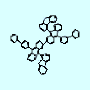 c1ccc(-c2ccc(-c3c4ccccc4c(-c4cccc5c4sc4ccccc45)c4cc(-c5ccc6c(-c7cccc(-c8ccccc8)c7)c7ccccc7c(-c7cccc8sc9ccccc9c78)c6c5)ccc34)cc2)cc1